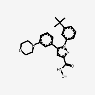 CC(C)(C)c1cccc(-n2nc(C(=O)NO)cc2-c2cccc(N3CCOCC3)c2)c1